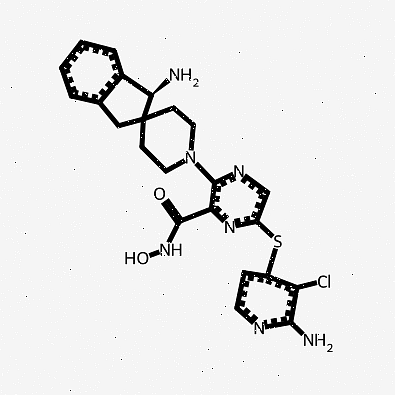 Nc1nccc(Sc2cnc(N3CCC4(CC3)Cc3ccccc3[C@H]4N)c(C(=O)NO)n2)c1Cl